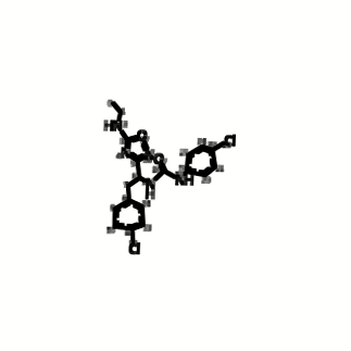 CCNc1nc(C(Cc2ccc(Cl)cc2)NC(=O)Nc2ccc(Cl)cc2)no1